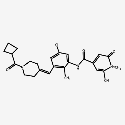 Cc1c(C=C2CCN(C(=O)C3CCC3)CC2)cc(Cl)cc1NC(=O)c1cc(C#N)n(C)c(=O)c1